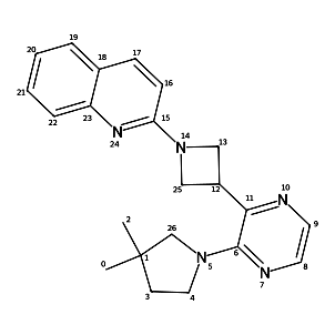 CC1(C)CCN(c2nccnc2C2CN(c3ccc4ccccc4n3)C2)C1